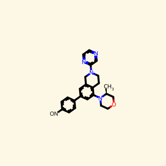 C[C@H]1COCCN1c1cc(-c2ccc(N=O)cc2)cc2c1CCN(c1cnccn1)C2